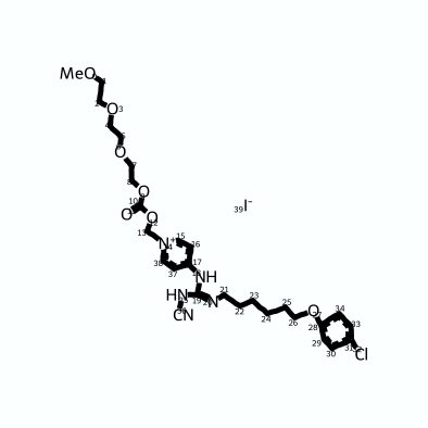 COCCOCCOCCOC(=O)OC[n+]1ccc(N/C(=N\CCCCCCOc2ccc(Cl)cc2)NC#N)cc1.[I-]